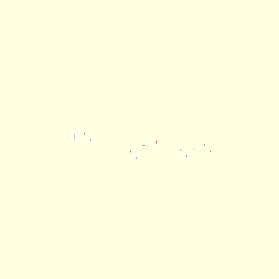 C[C@@H]1CN(C#N)C[C@@H]1c1nc(C(N)=O)sc1-c1ccccc1